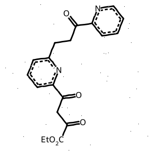 CCOC(=O)C(=O)CC(=O)c1cccc(CCC(=O)c2ccccn2)n1